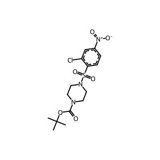 CC(C)(C)OC(=O)N1CCN(S(=O)(=O)c2ccc([N+](=O)[O-])cc2Cl)CC1